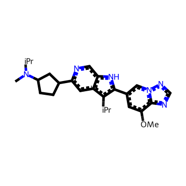 COc1cc(-c2[nH]c3cnc(C4CCC(N(C)C(C)C)C4)cc3c2C(C)C)cn2ncnc12